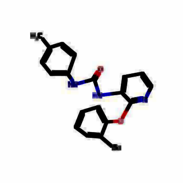 CCC(C)c1ccccc1Oc1ncccc1NC(=O)Nc1ccc(C)cc1